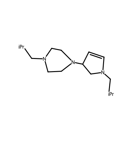 CC(C)CN1C=CC(N2CCN(CC(C)C)CC2)C1